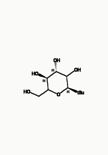 CC(C)(C)[C@H]1OC(CO)[C@@H](O)[C@H](O)C1O